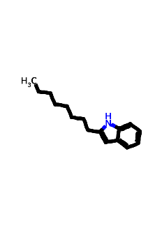 CCCCCCCCc1cc2ccccc2[nH]1